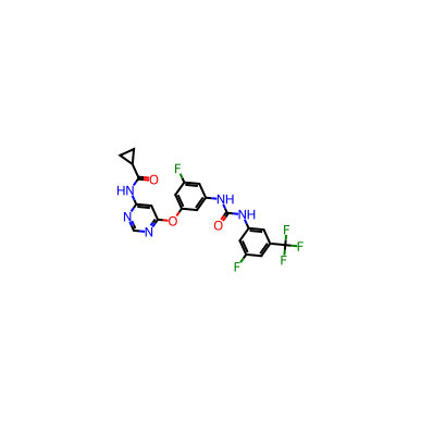 O=C(Nc1cc(F)cc(Oc2cc(NC(=O)C3CC3)ncn2)c1)Nc1cc(F)cc(C(F)(F)F)c1